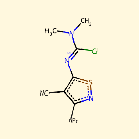 CCCc1nsc(/N=C(\Cl)N(C)C)c1C#N